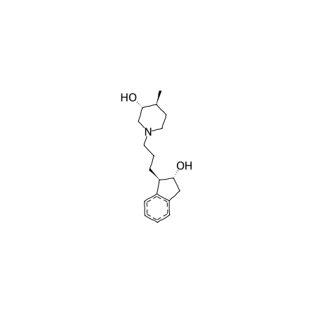 C[C@H]1CCN(CCC[C@@H]2c3ccccc3C[C@H]2O)C[C@@H]1O